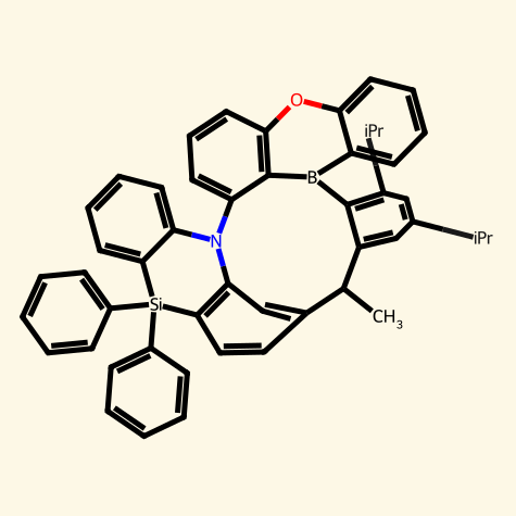 CC(C)c1cc(C(C)C)c2c(c1)C(C)c1ccc3c(c1)N(c1ccccc1[Si]3(c1ccccc1)c1ccccc1)c1cccc3c1B2c1ccccc1O3